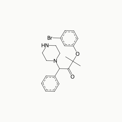 CC(C)(Oc1cccc(Br)c1)C(=O)C(c1ccccc1)N1CCNCC1